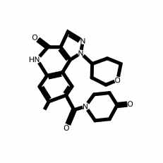 Cc1cc2[nH]c(=O)c3cnn(C4CCOCC4)c3c2cc1C(=O)N1CCC(=O)CC1